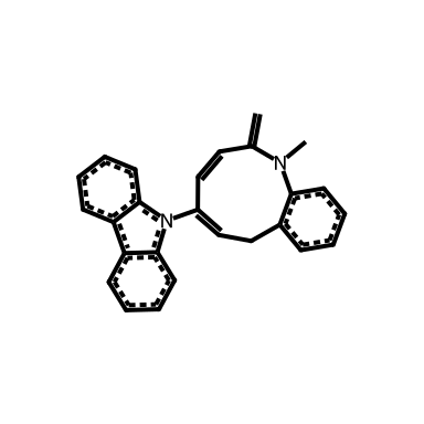 C=C1/C=C\C(n2c3ccccc3c3ccccc32)=C/Cc2ccccc2N1C